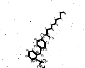 CCCCCCC/C=C(\F)Oc1ccc(Cc2ccccc2C(=O)O)cc1